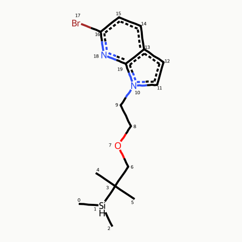 C[SiH](C)C(C)(C)COCCn1ccc2ccc(Br)nc21